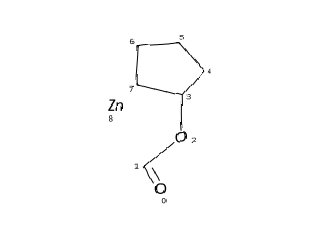 O=COC1CCCC1.[Zn]